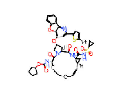 CCc1ccc(-c2cc(O[C@@H]3C[C@H]4C(=O)N[C@]5(C(=O)NS(=O)(=O)C6CC6)C[C@H]5/C=C\CCCCC[C@H](NC(=O)OC5CCCC5)C(=O)N4C3)c3oc4ccccc4c3n2)s1